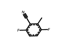 Cc1c(F)ccc(F)c1C#N